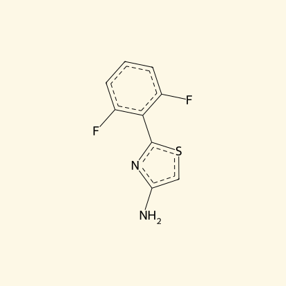 Nc1csc(-c2c(F)cccc2F)n1